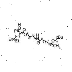 CCN(CC)CCN(C(=O)OCCCCNC(=O)COCCC(C)OCC(C)(C)C)C(O)F